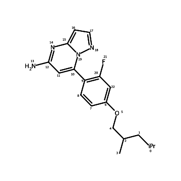 CC(C)CC(C)COc1ccc(-c2cc(N)nc3ccnn23)c(F)c1